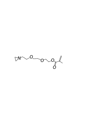 C=C(C)C(=O)OCCOCCOCCN1CC1